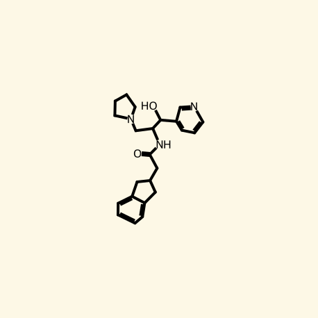 O=C(CC1Cc2ccccc2C1)NC(CN1CCCC1)C(O)c1cccnc1